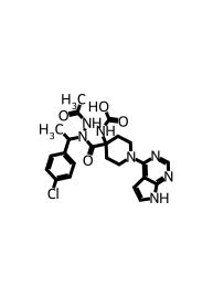 CC(=O)NN(C(=O)C1(NC(=O)O)CCN(c2ncnc3[nH]ccc23)CC1)C(C)c1ccc(Cl)cc1